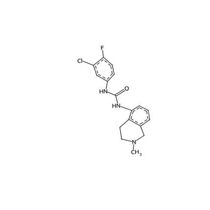 CN1CCc2c(cccc2NC(=O)Nc2ccc(F)c(Cl)c2)C1